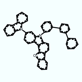 c1ccc(-c2cccc(-c3cccc(-n4c5cc(-n6c7ccccc7c7ccccc76)ccc5c5c6oc7ccccc7c6ccc54)c3)c2)cc1